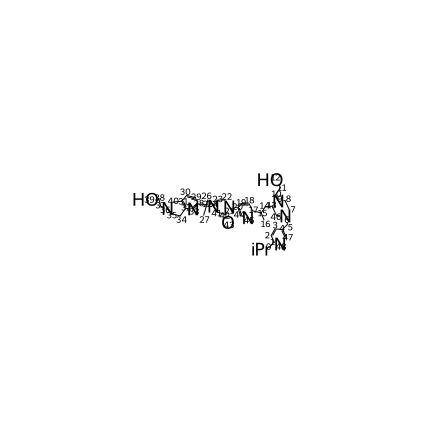 CC(C)c1ccc(CN2CCN(CCO)C(CC(C)c3ccc(N4CCN(C(C)(C)c5ccc6c(n5)CCN(CCO)C6)CC4=O)cn3)C2)cn1